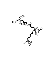 CO[Si](CCCOC(=O)CC[Si](C)(OCCCC[SiH](C)[SiH]=O)O[SiH]=O)(OC)OC